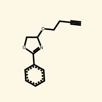 C#CCCOC1COC(c2ccccc2)=N1